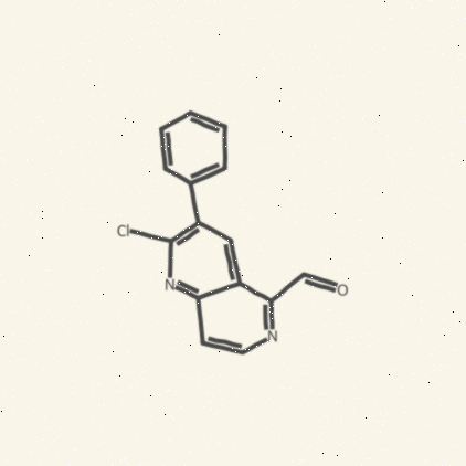 O=Cc1nccc2nc(Cl)c(-c3ccccc3)cc12